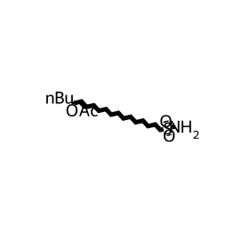 CCCCC(C=CCCCCCCCCCCCCS(N)(=O)=O)OC(C)=O